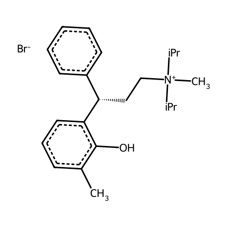 Cc1cccc([C@@H](CC[N+](C)(C(C)C)C(C)C)c2ccccc2)c1O.[Br-]